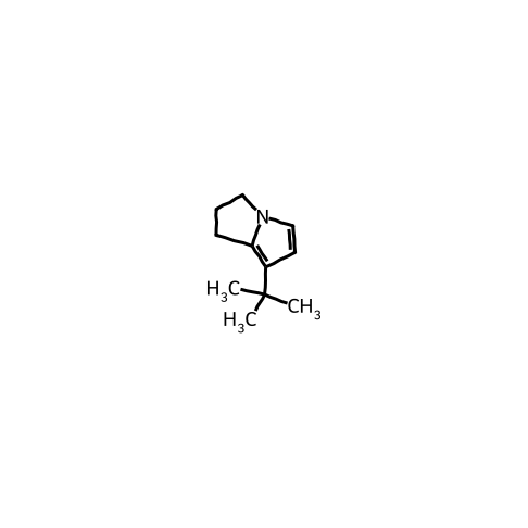 CC(C)(C)c1ccn2c1CCC2